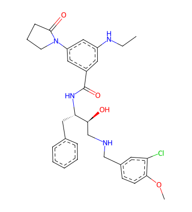 CCNc1cc(C(=O)N[C@@H](Cc2ccccc2)[C@@H](O)CNCc2ccc(OC)c(Cl)c2)cc(N2CCCC2=O)c1